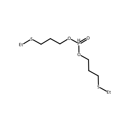 CCSCCCO[PH](=O)OCCCSCC